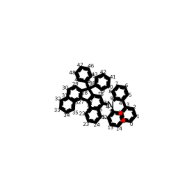 c1ccc(-c2ccccc2N(c2ccccc2)c2cc3c(c4ccccc24)-c2c(ccc4ccccc24)C3(c2ccccc2)c2ccccc2)cc1